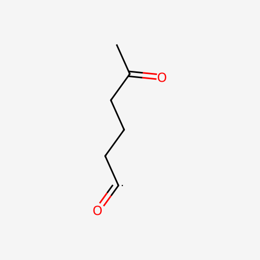 CC(=O)CCC[C]=O